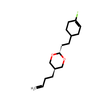 C=CCC[C@H]1CO[C@H](CCC2CC=C(F)CC2)OC1